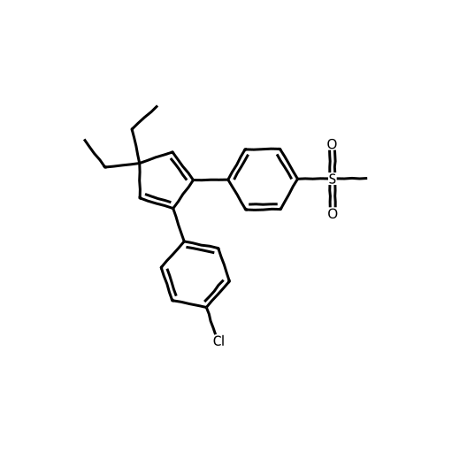 CCC1(CC)C=C(c2ccc(Cl)cc2)C(c2ccc(S(C)(=O)=O)cc2)=C1